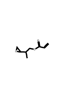 C=CC(=O)OCC(C)C1CO1